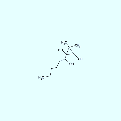 CCCCCC(O)C1(O)C(O)C1(C)C